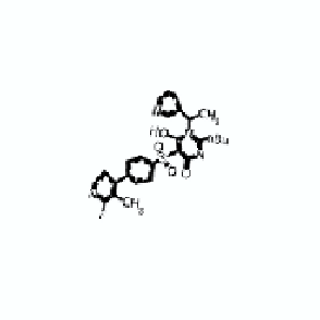 CCCCc1nc(=O)c(S(=O)(=O)c2ccc(-c3ccnc(F)c3C)cc2)c(O)n1C(C)c1cccnc1